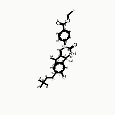 CCOC(=O)c1ccc(N2C=C(C(C)C)[C@](C)(c3ccc(CCC(C)(C)C)c(Cl)c3)NC2=O)cc1